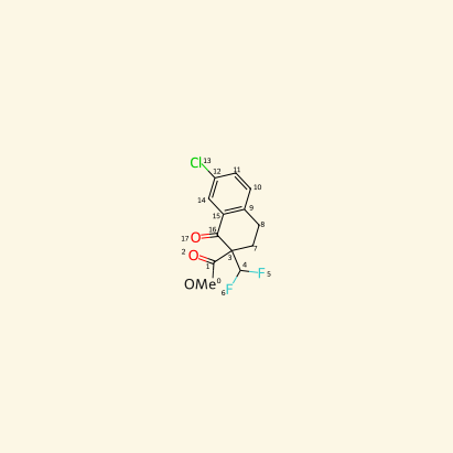 COC(=O)C1(C(F)F)CCc2ccc(Cl)cc2C1=O